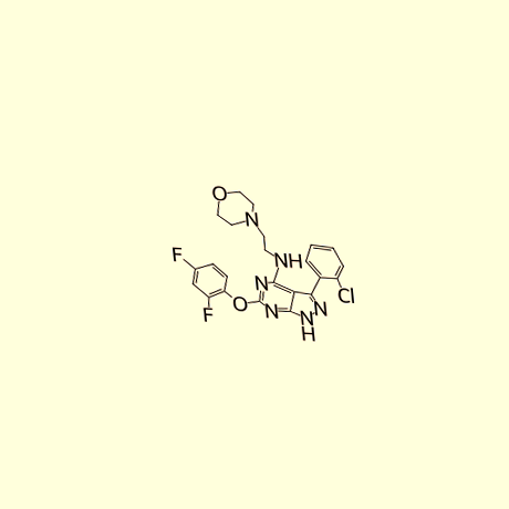 Fc1ccc(Oc2nc(NCCN3CCOCC3)c3c(-c4ccccc4Cl)n[nH]c3n2)c(F)c1